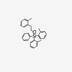 Cc1ccccc1CCO[Si](c1ccccc1)(c1ccccc1C)c1ccccc1C